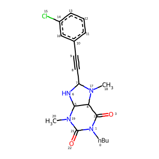 CCCCN1C(=O)C2C(NC(C#Cc3cccc(Cl)c3)N2C)N(C)C1=O